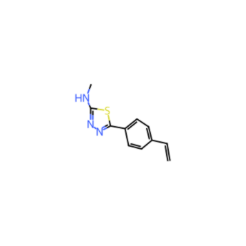 C=Cc1ccc(-c2nnc(NC)s2)cc1